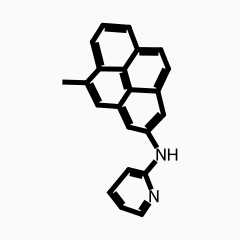 Cc1cc2cc(Nc3ccccn3)cc3ccc4cccc1c4c32